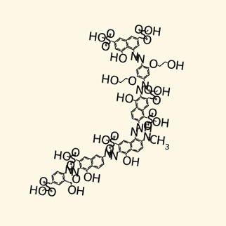 CNc1ccc2c(O)c(N=Nc3ccc4c(O)c(N=Nc5ccc(S(=O)(=O)O)cc5C(=O)O)c(S(=O)(=O)O)cc4c3)c(S(=O)(=O)O)cc2c1N=Nc1ccc2c(O)c(N=Nc3cc(OCCO)c(N=Nc4cc(S(=O)(=O)O)cc5cc(S(=O)(=O)O)cc(O)c45)cc3OCCO)c(S(=O)(=O)O)cc2c1S(=O)(=O)O